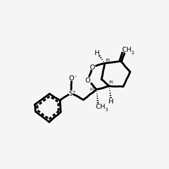 C=C1CC[C@@H]2C[C@H]1OO[C@]2(C)C[S+]([O-])c1ccccc1